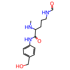 CNC(CCCNC=O)C(=O)Nc1ccc(CO)cc1